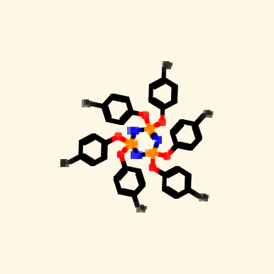 CC(C)c1ccc(OP2(Oc3ccc(C(C)C)cc3)=N[PH](Oc3ccc(C(C)C)cc3)(Oc3ccc(C(C)C)cc3)N[PH](Oc3ccc(C(C)C)cc3)(Oc3ccc(C(C)C)cc3)N2)cc1